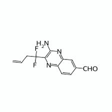 C=CCC(F)(F)c1nc2ccc(C=O)cc2nc1N